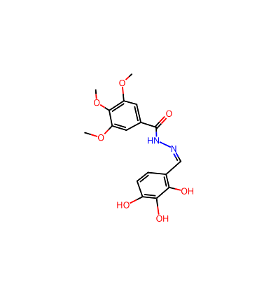 COc1cc(C(=O)N/N=C\c2ccc(O)c(O)c2O)cc(OC)c1OC